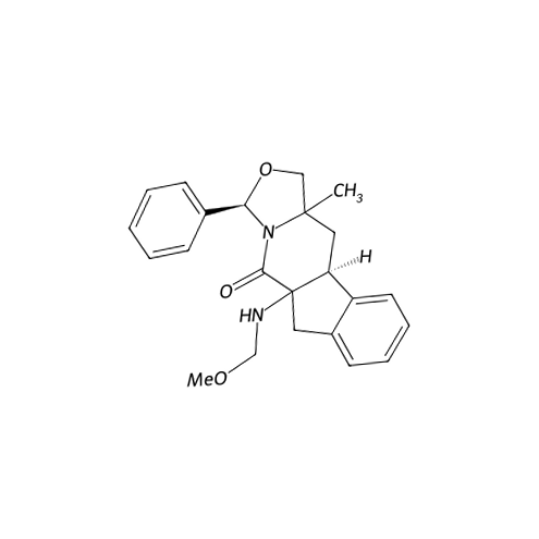 COCNC12Cc3ccccc3[C@@H]1CC1(C)CO[C@H](c3ccccc3)N1C2=O